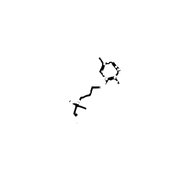 Cc1ccc(C)c(OCCCC(C)(C)C=NO)c1